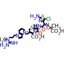 C[C@H](O/N=C(\C(=O)N[C@@H]1C(=O)N2C(C(=O)O)=C(C[n+]3cccc4c3ccn4CCCN(C)C(=N)N)CS[C@H]12)c1nc(N)sc1Cl)C(=O)O